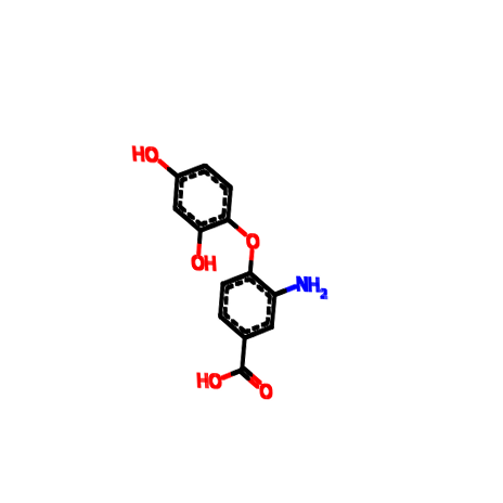 Nc1cc(C(=O)O)ccc1Oc1ccc(O)cc1O